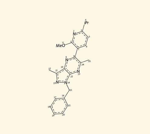 COc1nc(C(C)C)ccc1-c1nc2c(C)nn(Cc3ccccc3)c2nc1C